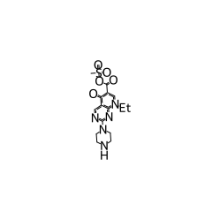 CCn1cc(C(=O)OS(C)(=O)=O)c(=O)c2cnc(N3CCNCC3)nc21